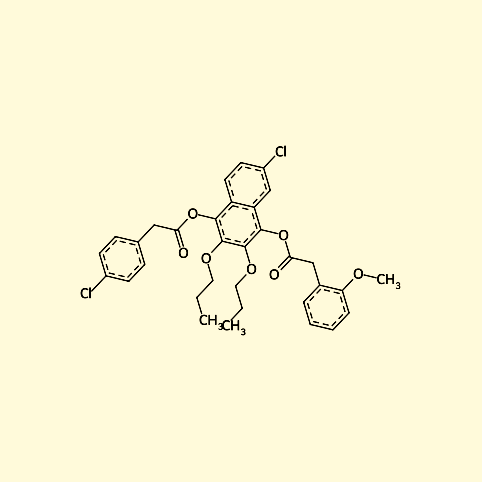 CCCOc1c(OCCC)c(OC(=O)Cc2ccccc2OC)c2cc(Cl)ccc2c1OC(=O)Cc1ccc(Cl)cc1